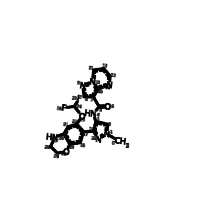 Cn1cc(NC(=O)c2cnn3cccnc23)c(-c2cc3c(cc2OC(F)F)NCCO3)n1